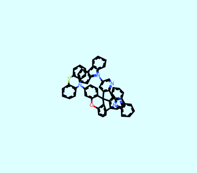 c1ccc2c(c1)Sc1ccccc1N2c1ccc2c(c1)Oc1cccc(-n3c4ccccc4c4ccccc43)c1C21c2cccnc2-c2ncc(-n3c4ccccc4c4ccccc43)cc21